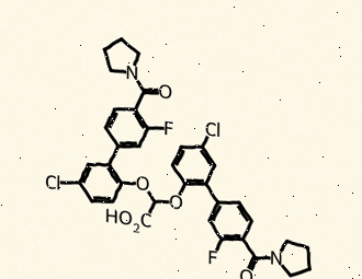 O=C(O)C(Oc1ccc(Cl)cc1-c1ccc(C(=O)N2CCCC2)c(F)c1)Oc1ccc(Cl)cc1-c1ccc(C(=O)N2CCCC2)c(F)c1